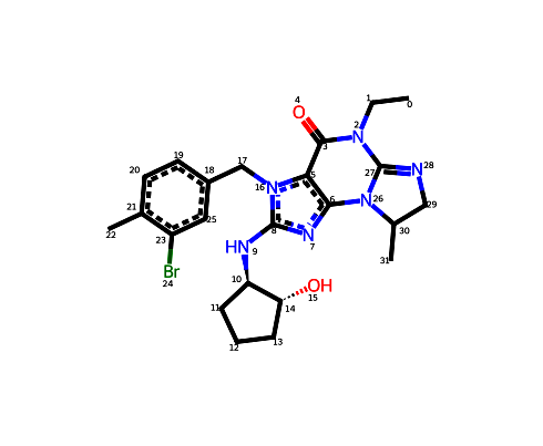 CCN1C(=O)c2c(nc(N[C@@H]3CCC[C@H]3O)n2Cc2ccc(C)c(Br)c2)N2C1=NCC2C